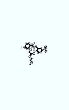 COCCOC(=O)COc1cc(F)ccc1C(=O)NCc1cccc([N+](=O)[O-])c1